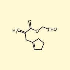 C=C(CC1=CCCC1)C(=O)OCC=O